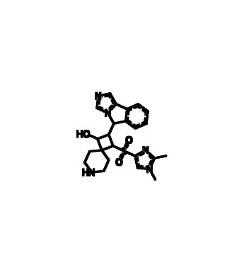 Cc1nc(S(=O)(=O)C2C(C3c4ccccc4-c4cncn43)C(O)C23CCNCC3)cn1C